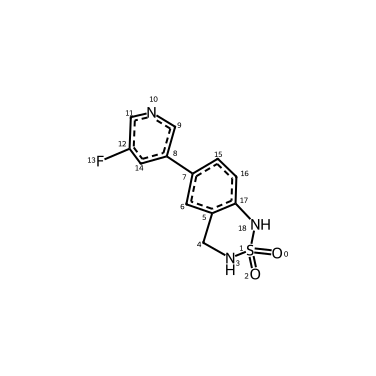 O=S1(=O)NCc2cc(-c3cncc(F)c3)ccc2N1